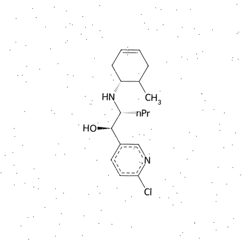 CCC[C@@H](N[C@@H]1CC=CCC1C)[C@H](O)c1ccc(Cl)nc1